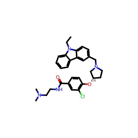 CCn1c2ccccc2c2cc(CN3CC[C@H](Oc4ccc(C(=O)NCCN(C)C)cc4Cl)C3)ccc21